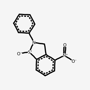 O=[N+]([O-])c1cccc2c1CN(c1ccccc1)[S+]2[O-]